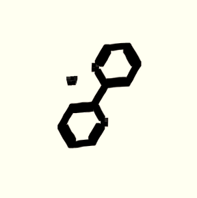 [W].c1ccc(-c2ccccn2)nc1